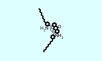 CCCCCCCCCc1ccc(Sc2cccc3c2C(=O)c2c(Sc4ccc(CCCCCCCCC)cc4N)cccc2C3=O)c(N)c1